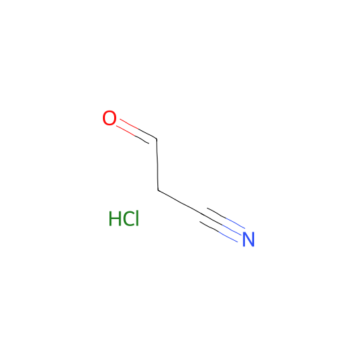 Cl.N#CCC=O